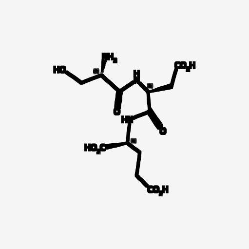 N[C@@H](CO)C(=O)N[C@@H](CC(=O)O)C(=O)N[C@@H](CCC(=O)O)C(=O)O